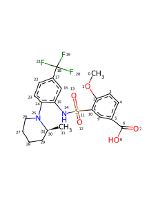 COc1ccc(C(=O)O)cc1S(=O)(=O)Nc1cc(C(F)(F)F)ccc1N1CCCC[C@@H]1C